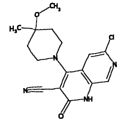 COC1(C)CCN(c2c(C#N)c(=O)[nH]c3cnc(Cl)cc23)CC1